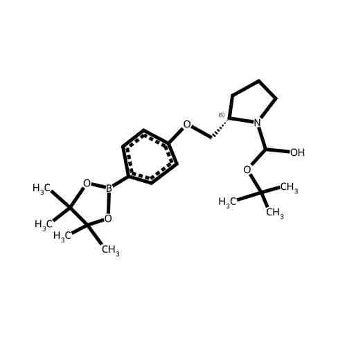 CC(C)(C)OC(O)N1CCC[C@H]1COc1ccc(B2OC(C)(C)C(C)(C)O2)cc1